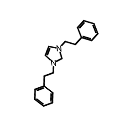 C1=CN(CCc2ccccc2)CN1CCc1ccccc1